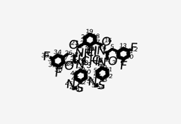 CN(C(=O)C(Cc1cc(F)cc(F)c1)NC(=O)c1cccc(C(=O)N[C@@H](Cc2cc(F)cc(F)c2)C(=O)N(C)c2ccc3scnc3c2)c1Cl)c1ccc2scnc2c1